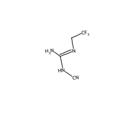 N#CNC(N)=NCC(F)(F)F